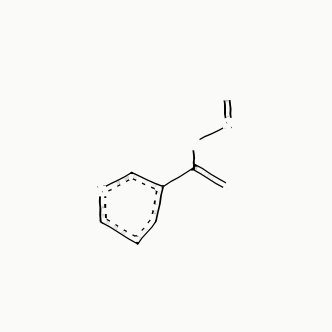 O=NOC(=O)c1cccnc1